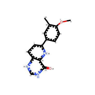 COc1ccc(-c2ccc3nc[nH]c(=O)c3n2)cc1C